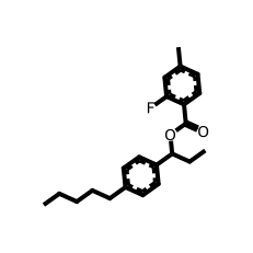 CCCCCc1ccc(C(CC)OC(=O)c2ccc(C)cc2F)cc1